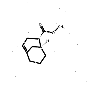 COC(=O)[C@H]1CC=C2CCC[C@H]1C2